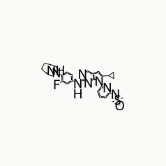 CS(C)(=O)=Nc1cccc(-n2c(C3CC3)cc3cnc(Nc4ccc(N5CC6CCC(C5)N6)c(F)c4)nc32)n1